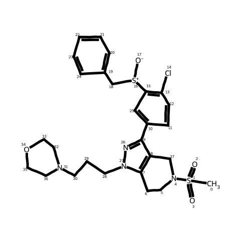 CS(=O)(=O)N1CCc2c(c(-c3ccc(Cl)c([S+]([O-])Cc4ccccc4)c3)nn2CCCN2CCOCC2)C1